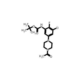 CC(=O)N1CCN(c2cc(Cl)c(F)c(NC(=O)OC(C)(C)C)c2)CC1